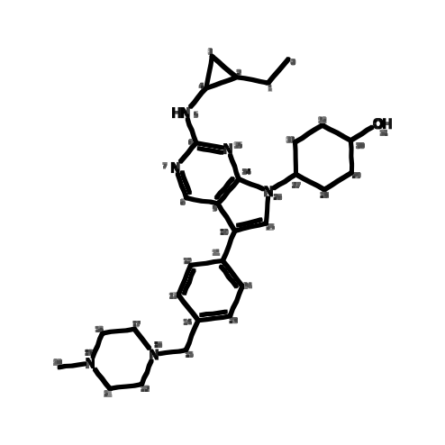 CCC1CC1Nc1ncc2c(-c3ccc(CN4CCN(C)CC4)cc3)cn(C3CCC(O)CC3)c2n1